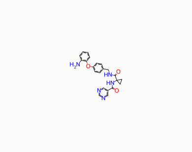 Nc1ccccc1Oc1ccc(CNC(=O)C2(NC(=O)c3cncnc3)CC2)cc1